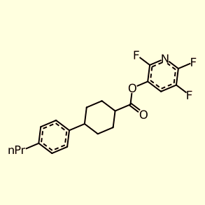 CCCc1ccc(C2CCC(C(=O)Oc3cc(F)c(F)nc3F)CC2)cc1